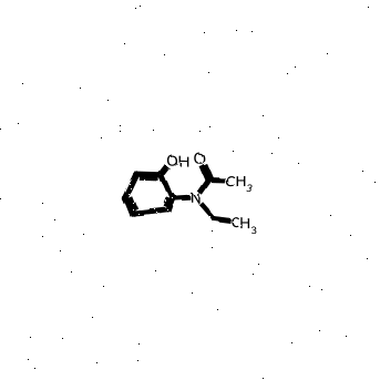 CCN(C(C)=O)c1ccccc1O